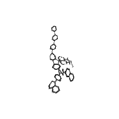 CC1(C)c2cc(-c3ccc(-c4ccc(-c5ccccc5)cc4)cc3)ccc2-c2ccc(N(c3ccc(-c4cccc5ccccc45)cc3)c3ccc4ccccc4c3)cc21